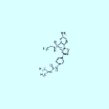 CCNS(=O)(=O)c1cc(N)ccc1-c1cnc(-c2ccc(NC(=O)OC(C)C)cc2)s1